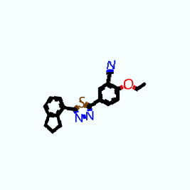 CCOc1ccc(-c2nnc(-c3cccc4c3CCC4)s2)cc1C#N